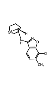 Cc1ccc2c(N[C@@H]3CN4CCC3CC4)noc2c1Cl